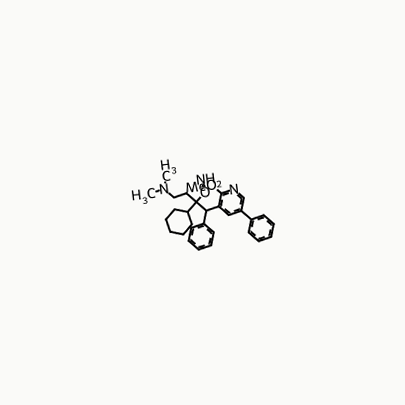 COc1ncc(-c2ccccc2)cc1C(c1ccccc1)C(CCN(C)C)(ON)C1CCCCC1